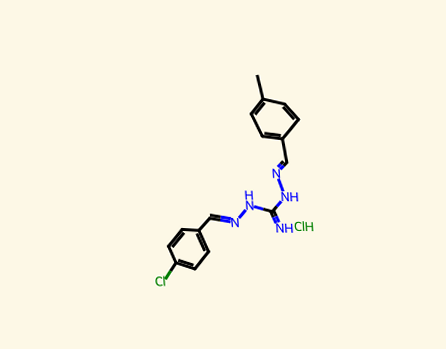 Cc1ccc(C=NNC(=N)NN=Cc2ccc(Cl)cc2)cc1.Cl